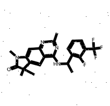 Cc1nc(NC(C)c2cccc(C(F)(F)F)c2F)c2cc3c(cc2n1)N(C)C(=O)C3(C)C